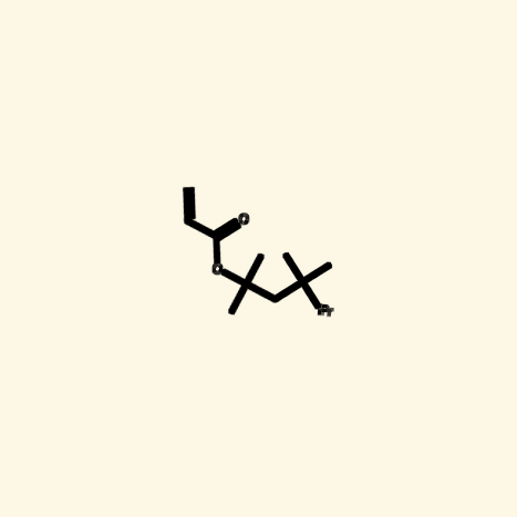 C=CC(=O)OC(C)(C)CC(C)(C)C(C)C